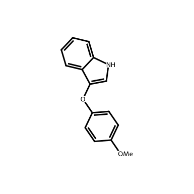 COc1ccc(Oc2c[nH]c3ccccc23)cc1